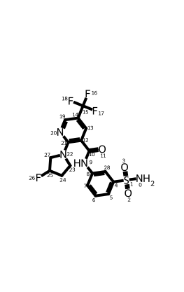 NS(=O)(=O)c1cccc(NC(=O)c2cc(C(F)(F)F)cnc2N2CCC(F)C2)c1